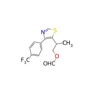 CC(COC=O)c1scnc1-c1ccc(C(F)(F)F)cc1